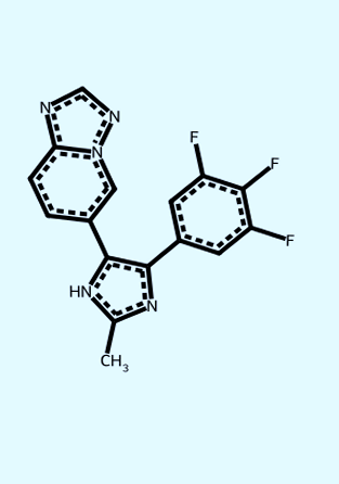 Cc1nc(-c2cc(F)c(F)c(F)c2)c(-c2ccc3ncnn3c2)[nH]1